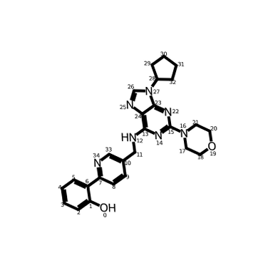 Oc1ccccc1-c1ccc(CNc2nc(N3CCOCC3)nc3c2ncn3C2CCCC2)cn1